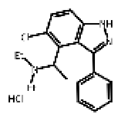 CCN(CC)C(C)c1c(Cl)ccc2[nH]nc(-c3ccccc3)c12.Cl